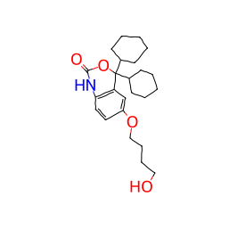 O=C1Nc2ccc(OCCCCO)cc2C(C2CCCCC2)(C2CCCCC2)O1